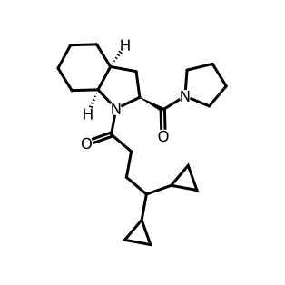 O=C([C@@H]1C[C@@H]2CCCC[C@@H]2N1C(=O)CCC(C1CC1)C1CC1)N1CCCC1